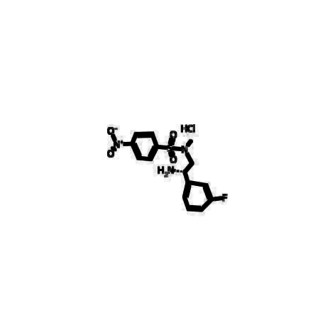 CN(C[C@@H](N)c1cccc(F)c1)S(=O)(=O)c1ccc([N+](=O)[O-])cc1.Cl